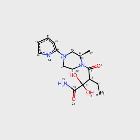 CC(C)CC(C(=O)N1CCN(c2ccccn2)C[C@H]1C)C(O)(O)C(N)=O